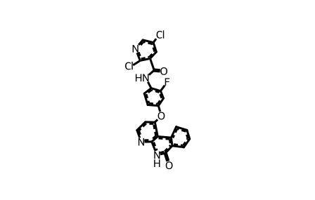 O=C(Nc1ccc(Oc2ccnc3[nH]c(=O)c4ccccc4c23)cc1F)c1cc(Cl)cnc1Cl